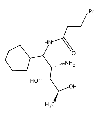 CC(C)CCC(=O)NC(C1CCCCC1)[C@H](N)[C@@H](O)[C@H](C)O